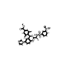 COC(=O)c1cc(C)c(C(OC(=O)[C@H](C)NS(=O)(=O)c2cccc([N+](=O)[O-])c2)c2cc(-n3ccnc3)ccc2C)c(C)c1